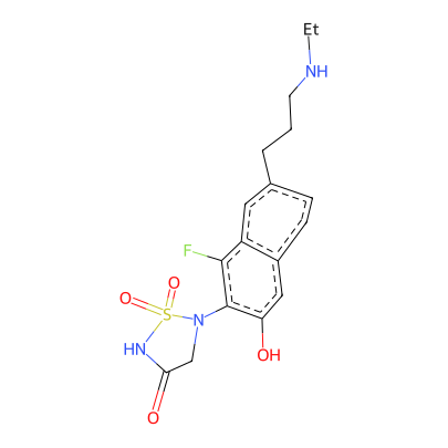 CCNCCCc1ccc2cc(O)c(N3CC(=O)NS3(=O)=O)c(F)c2c1